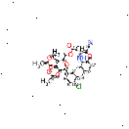 CC(=O)OC[C@H]1O[C@@H](c2ccc(Cl)c(Cc3ccc4c(c3)NCC(C#N)O4)c2)[C@H](OC(C)=O)[C@@H](OC(C)=O)[C@@H]1C